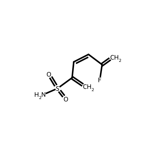 C=C(F)/C=C\C(=C)S(N)(=O)=O